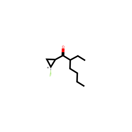 CCCCC(CC)C(=O)C1C[C@H]1F